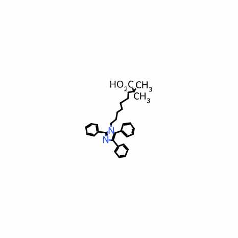 CC(C)(CCCCCCCn1c(-c2ccccc2)nc(-c2ccccc2)c1-c1ccccc1)C(=O)O